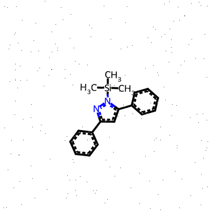 C[Si](C)(C)n1nc(-c2ccccc2)cc1-c1ccccc1